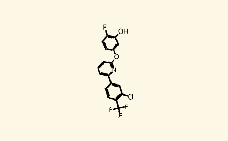 Oc1cc(Oc2cccc(-c3ccc(C(F)(F)F)c(Cl)c3)n2)ccc1F